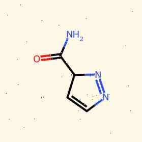 NC(=O)[C]1C=CN=N1